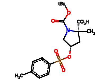 Cc1ccc(S(=O)(=O)O[C@@H]2CN(C(=O)OC(C)(C)C)[C@](C)(C(=O)O)C2)cc1